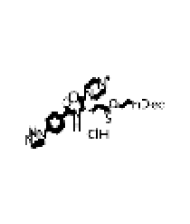 CCCCCCCCCCCCOC(=S)CC[C@H](NC(=O)c1ccc(-n2ccnn2)cc1)C(=O)N1CCN(C)CC1.Cl